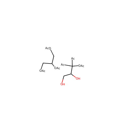 CC(=O)OC(C(C)=O)(C(C)=O)C(O)CO.CC(=O)OCC(COC(C)=O)OC(C)=O